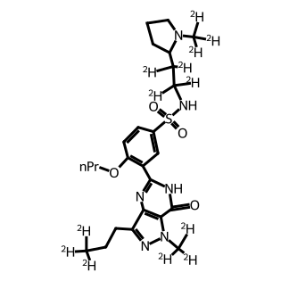 [2H]C([2H])([2H])CCc1nn(C([2H])([2H])[2H])c2c(=O)[nH]c(-c3cc(S(=O)(=O)NC([2H])([2H])C([2H])([2H])C4CCCN4C([2H])([2H])[2H])ccc3OCCC)nc12